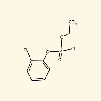 O=P(Cl)(OCC(Cl)(Cl)Cl)Oc1ccccc1Cl